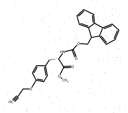 C#CCOc1ccc(C[C@H](NC(=O)OCC2c3ccccc3-c3ccccc32)C(=O)OC)cc1